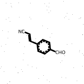 N#CC=Cc1ccc(C=O)cc1